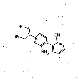 CC(C)CN(CC(C)C)c1ccc(-c2ccccc2C#N)c(N)c1